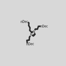 CCCCCCCCCCCCCCC1N(CCCCCCCCCCCCC)C=CN1CCCCCCCCCCCCC